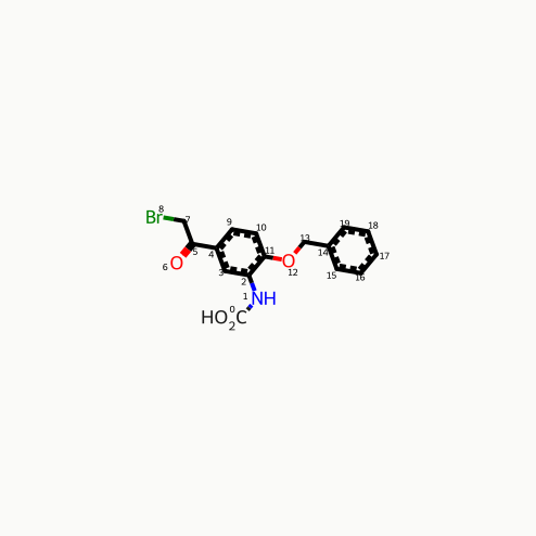 O=C(O)Nc1cc(C(=O)CBr)ccc1OCc1ccccc1